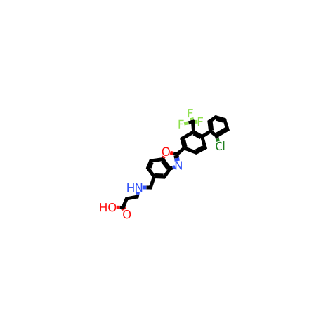 O=C(O)CCNCc1ccc2oc(-c3ccc(-c4ccccc4Cl)c(C(F)(F)F)c3)nc2c1